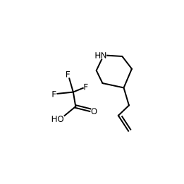 C=CCC1CCNCC1.O=C(O)C(F)(F)F